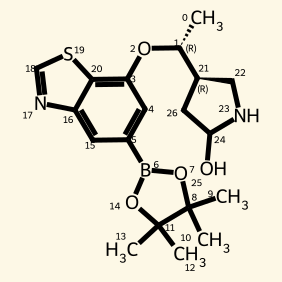 C[C@@H](Oc1cc(B2OC(C)(C)C(C)(C)O2)cc2ncsc12)[C@H]1CNC(O)C1